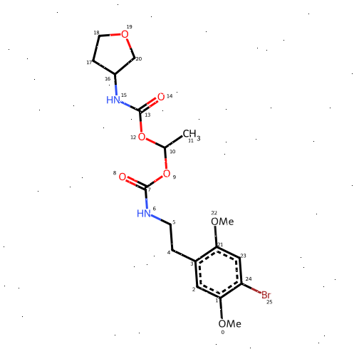 COc1cc(CCNC(=O)OC(C)OC(=O)NC2CCOC2)c(OC)cc1Br